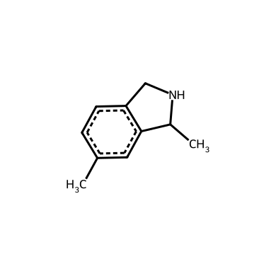 Cc1ccc2c(c1)C(C)NC2